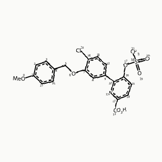 COc1ccc(COc2cc(-c3nc(C(=O)O)ccc3OS(=O)(=O)C(F)(F)F)ccc2Cl)cc1